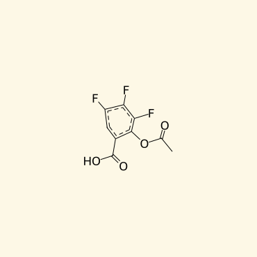 CC(=O)Oc1c(C(=O)O)cc(F)c(F)c1F